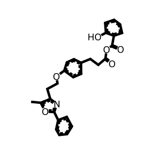 Cc1oc(-c2ccccc2)nc1CCOc1ccc(CCC(=O)OC(=O)c2ccccc2O)cc1